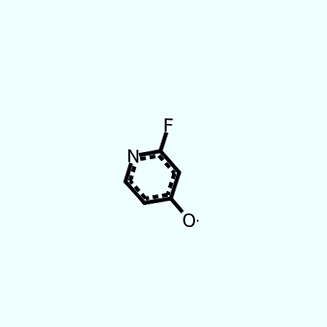 [O]c1ccnc(F)c1